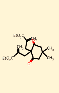 C=C(CC1(CC(=C)C(=O)OCC)C(=O)CC(C)(C)CC1=O)C(=O)OCC